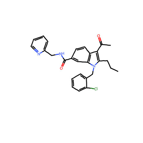 CCCc1c(C(C)=O)c2ccc(C(=O)NCc3ccccn3)cc2n1Cc1ccccc1Cl